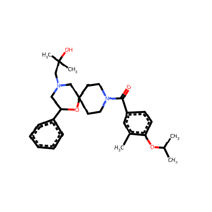 Cc1cc(C(=O)N2CCC3(CC2)CN(CC(C)(C)O)CC(c2ccccc2)O3)ccc1OC(C)C